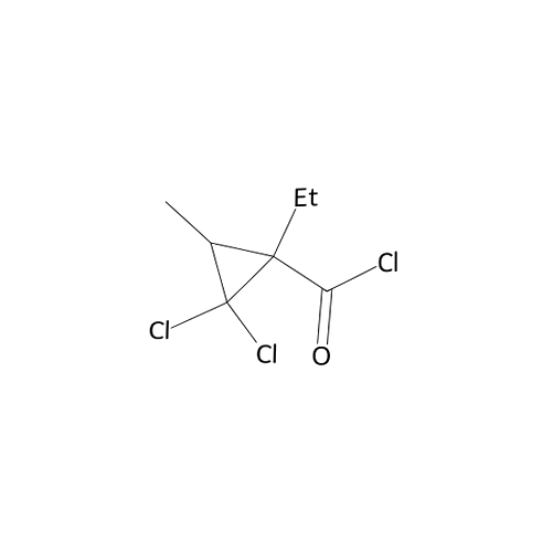 CCC1(C(=O)Cl)C(C)C1(Cl)Cl